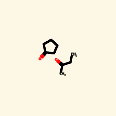 CCC(C)=O.O=C1CCCC1